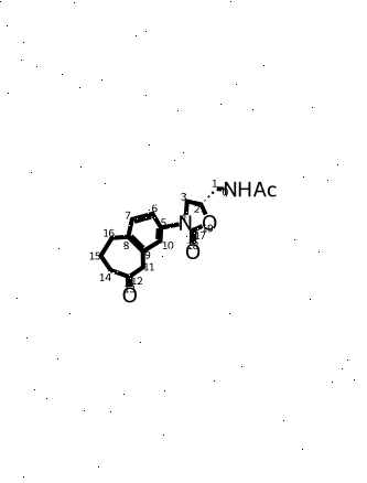 CC(=O)NC[C@H]1CN(c2ccc3c(c2)CC(=O)CCC3)C(=O)O1